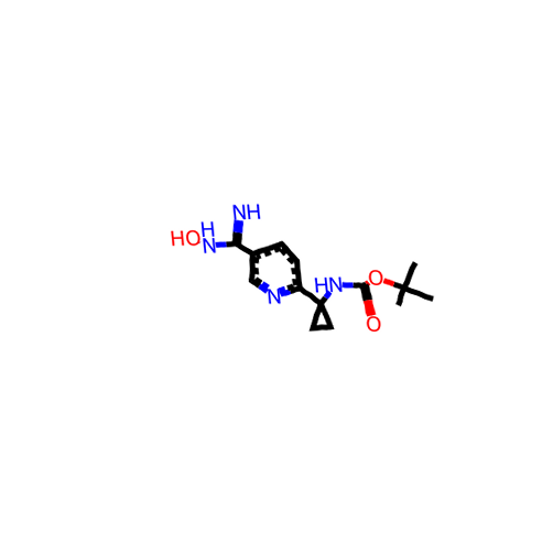 CC(C)(C)OC(=O)NC1(c2ccc(C(=N)NO)cn2)CC1